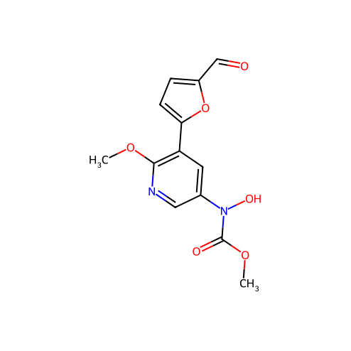 COC(=O)N(O)c1cnc(OC)c(-c2ccc(C=O)o2)c1